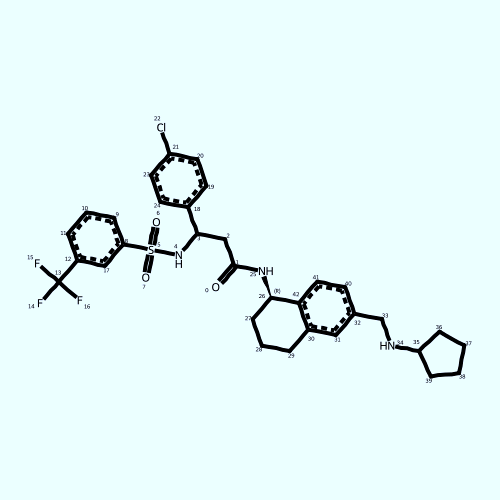 O=C(CC(NS(=O)(=O)c1cccc(C(F)(F)F)c1)c1ccc(Cl)cc1)N[C@@H]1CCCc2cc(CNC3CCCC3)ccc21